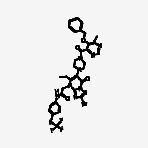 CCc1c(N2CCN(C(=O)c3ncnc(C)c3OCc3ccccc3)CC2)c(=O)n2nc(Br)nc2n1CC(=O)Nc1ccc(SC(F)(F)F)cc1